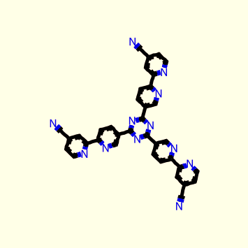 N#Cc1ccnc(-c2ccc(-c3nc(-c4ccc(-c5cc(C#N)ccn5)nc4)nc(-c4ccc(-c5cc(C#N)ccn5)nc4)n3)cn2)c1